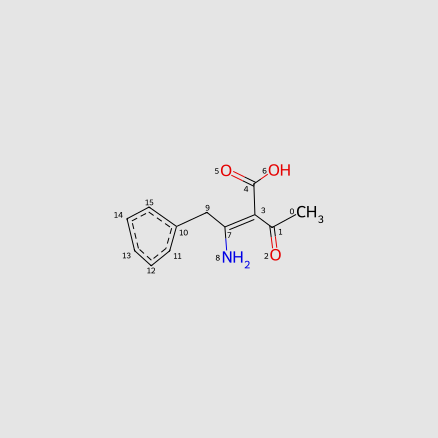 CC(=O)C(C(=O)O)=C(N)Cc1ccccc1